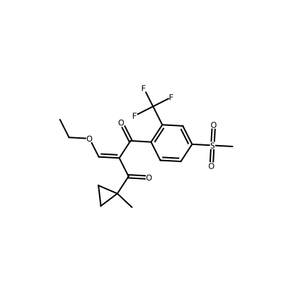 CCO/C=C(\C(=O)c1ccc(S(C)(=O)=O)cc1C(F)(F)F)C(=O)C1(C)CC1